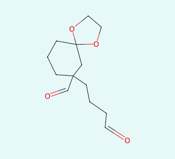 O=CCCCC1(C=O)CCCC2(C1)OCCO2